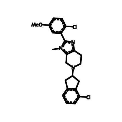 COc1ccc(Cl)c(-c2nc3c(n2C)CN(C2Cc4cccc(Cl)c4C2)CC3)c1